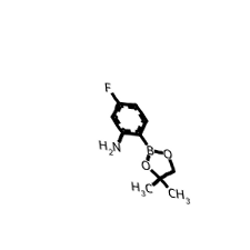 CC1(C)COB(c2ccc(F)cc2N)O1